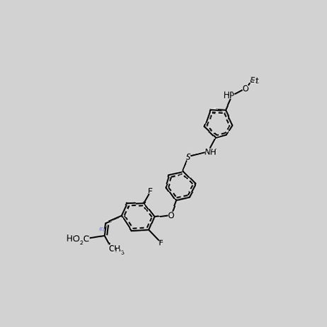 CCOPc1ccc(NSc2ccc(Oc3c(F)cc(/C=C(\C)C(=O)O)cc3F)cc2)cc1